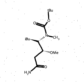 CC[C@H](C)[C@@H]([C@@H](CC(N)=O)OC)N(C)C(=O)OC(C)(C)C